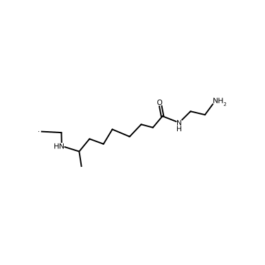 [CH2]CNC(C)CCCCCCC(=O)NCCN